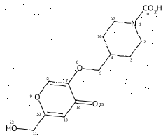 O=C(O)N1CCC(COc2coc(CO)cc2=O)CC1